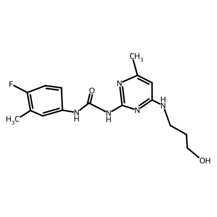 Cc1cc(NCCCO)nc(NC(=O)Nc2ccc(F)c(C)c2)n1